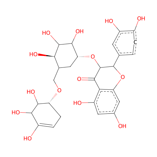 O=C1c2c(O)cc(O)cc2OC(c2ccc(O)c(O)c2)C1O[C@@H]1CC(CO[C@@H]2CC=C(O)C(O)C2O)[C@@H](O)C(O)C1O